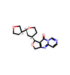 O=c1c2c(nc3ccncn13)COC2[C@@H]1CCO[C@H]([C@H]2CCOC2)C1